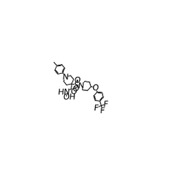 Cc1ccc(N2CCC(C(=O)NO)(S(=O)(=O)N3CCC(Oc4ccc(C(F)(F)F)cc4)CC3)CC2)cc1